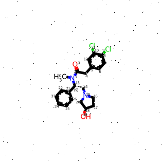 CN(C(=O)Cc1ccc(Cl)c(Cl)c1)[C@H](CN1CCC(O)C1)c1ccccc1